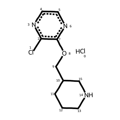 Cl.Clc1nccnc1OCC1CCCNC1